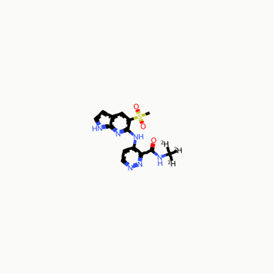 [2H]C([2H])([2H])NC(=O)c1nnccc1Nc1nc2[nH]ccc2cc1S(C)(=O)=O